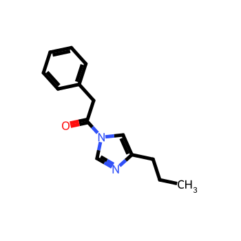 CCCc1cn(C(=O)Cc2ccccc2)cn1